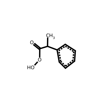 CC(C(=O)OO)c1ccccc1